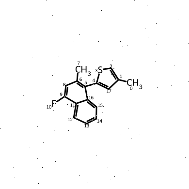 Cc1[c]sc(-c2c(C)cc(F)c3ccccc23)c1